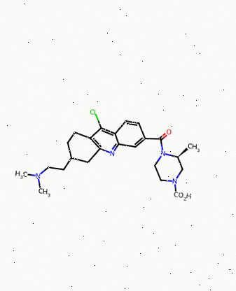 C[C@H]1CN(C(=O)O)CCN1C(=O)c1ccc2c(Cl)c3c(nc2c1)CC(CCN(C)C)CC3